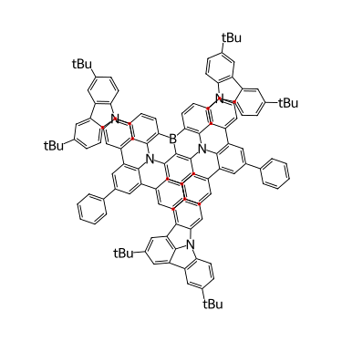 CC(C)(C)c1ccc2c(c1)c1cc(C(C)(C)C)ccc1n2-c1ccc2c(c1)N(c1c(-c3ccccc3)cc(-c3ccccc3)cc1-c1ccccc1)c1cc(-c3ccc4c(c3)c3cc(C(C)(C)C)cc5c6cc(C(C)(C)C)ccc6n4c35)cc3c1B2c1ccc(-n2c4ccc(C(C)(C)C)cc4c4cc(C(C)(C)C)ccc42)cc1N3c1c(-c2ccccc2)cc(-c2ccccc2)cc1-c1ccccc1